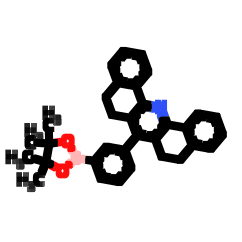 CC1(C)OB(c2cccc(-c3c4c(nc5c3CCc3ccccc3-5)-c3ccccc3CC4)c2)OC1(C)C